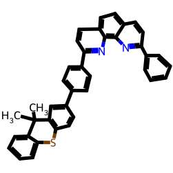 CC1(C)c2ccccc2Sc2ccc(-c3ccc(-c4ccc5ccc6ccc(-c7ccccc7)nc6c5n4)cc3)cc21